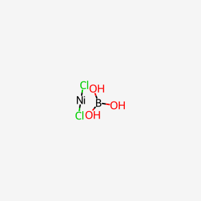 OB(O)O.[Cl][Ni][Cl]